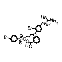 N=C(N)NCc1ccc(OCCCOS(=O)(=O)c2ccc(Br)cc2)c(Br)c1.O=C(O)c1ccccc1